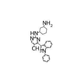 Cc1cnc(N[C@@H]2CCC[C@H](N)C2)nc1-c1cn(-c2ccccc2)c2ccccc12